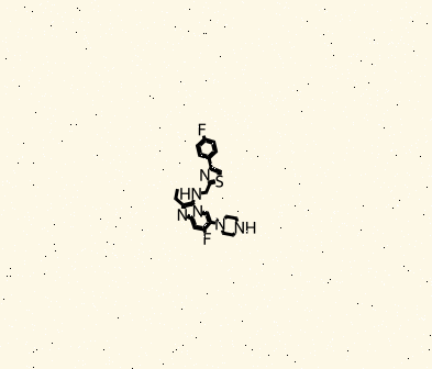 CCc1nc2cc(F)c(N3CCNCC3)cn2c1NCc1nc(-c2ccc(F)cc2)cs1